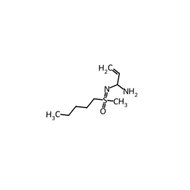 C=CC(N)N=S(C)(=O)CCCCC